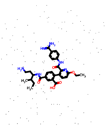 CCOc1ccc(-c2ccc(C(=O)NC(CCN)C(C)CC)cc2C(=O)O)c(C(=O)Nc2ccc(C(=N)N)cc2)n1